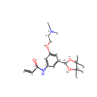 C=CC(=O)Nc1cc(OCCN(C)C)cc(B2OC(C)(C)C(C)(C)O2)c1